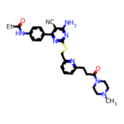 CCC(=O)Nc1ccc(-c2nc(SCc3cccc(CCC(=O)N4CCN(C)CC4)n3)nc(N)c2C#N)cc1